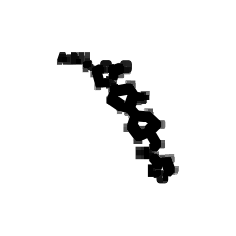 CC(=O)NC[C@H]1CN(c2ccc(-c3ccc(CNc4ccon4)cc3)c(F)c2)C(=O)O1